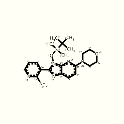 CC(C)(C)[Si](C)(C)On1c(-c2cccnc2N)nc2ccc(N3CCOCC3)nc21